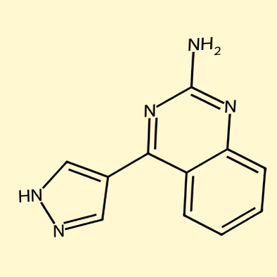 Nc1nc(-c2cn[nH]c2)c2ccccc2n1